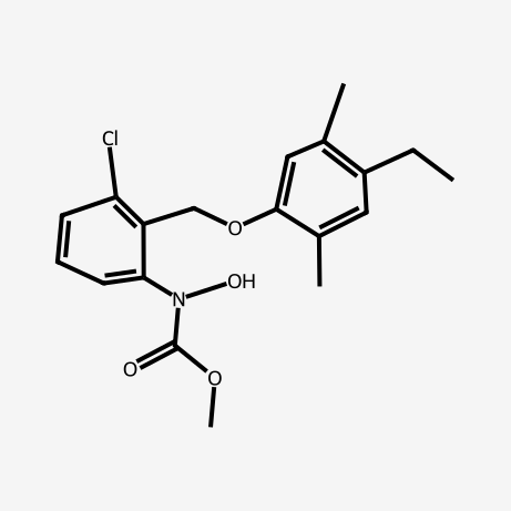 CCc1cc(C)c(OCc2c(Cl)cccc2N(O)C(=O)OC)cc1C